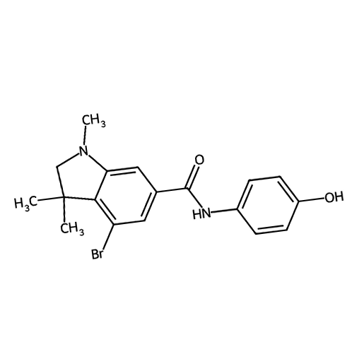 CN1CC(C)(C)c2c(Br)cc(C(=O)Nc3ccc(O)cc3)cc21